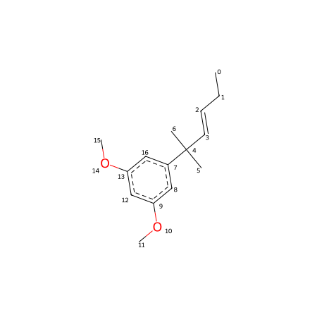 CCC=CC(C)(C)c1cc(OC)cc(OC)c1